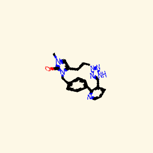 CCCc1cn(C)c(=O)n1Cc1ccc(-c2ncccc2-c2nnn[nH]2)cc1